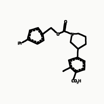 Cc1cc(C2CCCN(C(=O)OCc3ccc(C(C)C)cc3)C2)ccc1C(=O)O